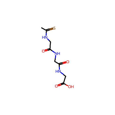 CC(=S)NCC(=O)NCC(=O)NCC(=O)O